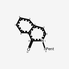 CCCCCn1ccc2ccccc2c1=O